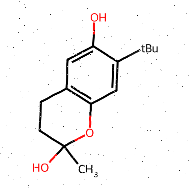 CC1(O)CCc2cc(O)c(C(C)(C)C)cc2O1